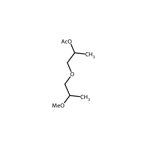 COC(C)COCC(C)OC(C)=O